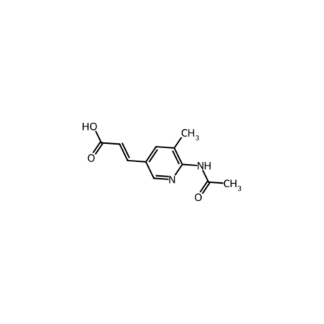 CC(=O)Nc1ncc(C=CC(=O)O)cc1C